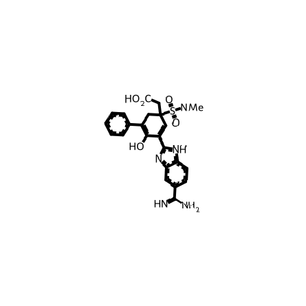 CNS(=O)(=O)C1(CC(=O)O)C=C(c2nc3cc(C(=N)N)ccc3[nH]2)C(O)=C(c2ccccc2)C1